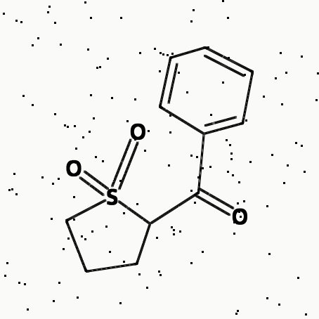 O=C(c1ccccc1)C1CCCS1(=O)=O